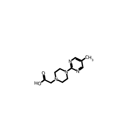 Cc1cnc(N2CCN(CC(=O)O)CC2)nc1